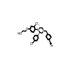 C[C@@H]1CN(Cc2ccc(C#N)cc2)C[C@@H](c2ccc(Cl)cc2)N1c1ccc(OCCO)cc1Cl